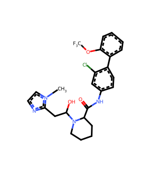 Cn1ccnc1CC(O)N1CCCCC1C(=O)Nc1ccc(-c2ccccc2OC(F)(F)F)c(Cl)c1